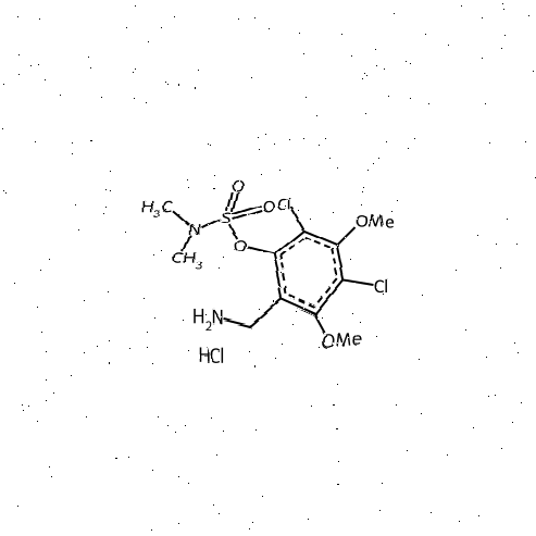 COc1c(Cl)c(OC)c(CN)c(OS(=O)(=O)N(C)C)c1Cl.Cl